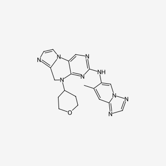 Cc1cc2ncnn2cc1Nc1ncc2c(n1)N(C1CCOCC1)Cc1nccn1-2